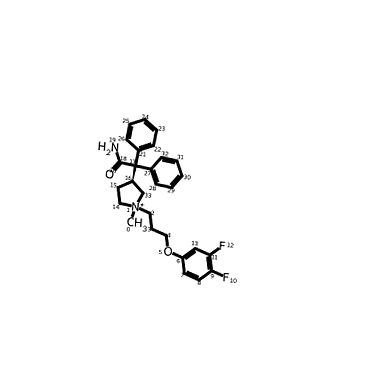 C[N+]1(CCCOc2ccc(F)c(F)c2)CC[C@@H](C(C(N)=O)(c2ccccc2)c2ccccc2)C1